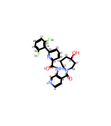 O=C(Nc1cnccc1C(=O)N1CCCC(O)CC1)c1cccc(-c2c(F)cccc2F)n1